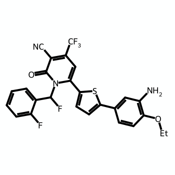 CCOc1ccc(-c2ccc(-c3cc(C(F)(F)F)c(C#N)c(=O)n3C(F)c3ccccc3F)s2)cc1N